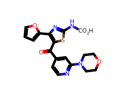 O=C(O)Nc1nc(-c2ccco2)c(C(=O)c2ccnc(N3CCOCC3)c2)s1